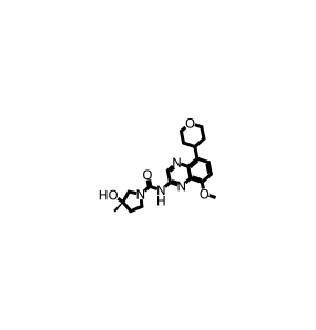 COc1ccc(C2CCOCC2)c2ncc(NC(=O)N3CC[C@](C)(O)C3)nc12